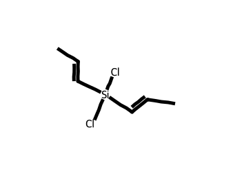 CC=C[Si](Cl)(Cl)C=CC